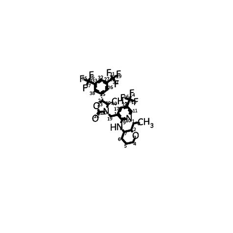 CCC1OCCCC1Nc1ncc(C(F)(F)F)cc1CN1C(=O)O[C@H](c2cc(C(F)(F)F)cc(C(F)(F)F)c2)[C@@H]1C